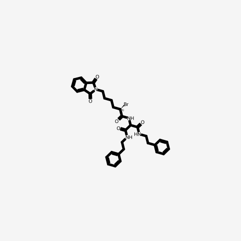 O=C(NCCc1ccccc1)C(NC(=O)[C@@H](Br)CCCCN1C(=O)c2ccccc2C1=O)C(=O)NCCc1ccccc1